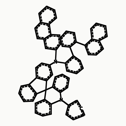 c1ccc(N2c3ccccc3C3(c4ccccc4-c4ccc(N(c5ccc6c(ccc7ccccc76)c5)c5ccccc5-c5ccccc5-c5cccc6ccccc56)cc43)c3ccccc32)cc1